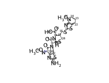 CO/N=C(\C(=O)NC1C(=O)N2C(C(=O)O)=C(CSC3N=C4C(=CC=CN4C)S3)CS[C@H]12)c1csc(N)n1